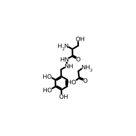 NC(CO)C(=O)NNCc1ccc(O)c(O)c1O.NCC(=O)O